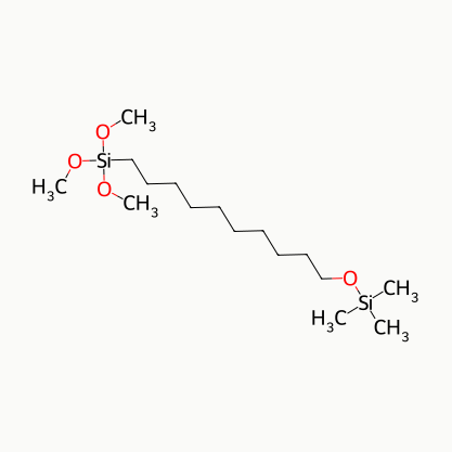 CO[Si](CCCCCCCCCCO[Si](C)(C)C)(OC)OC